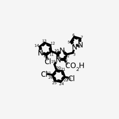 O=C(O)c1c(Cn2cccn2)nc(-c2cccnc2Cl)n1Cc1cc(Cl)ccc1Cl